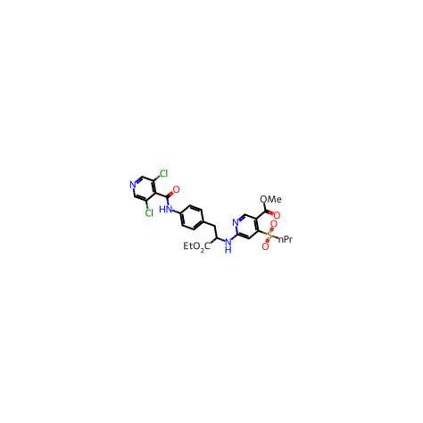 CCCS(=O)(=O)c1cc(NC(Cc2ccc(NC(=O)c3c(Cl)cncc3Cl)cc2)C(=O)OCC)ncc1C(=O)OC